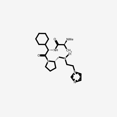 CCN(CCn1ccnc1)C[C@@H]1CCCN1C(=O)[C@@H](NC(=O)[C@H](C)NC)C1CCCCC1